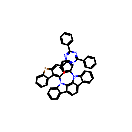 c1ccc(-c2nc(-c3ccccc3)nc(-c3cc(-n4c5ccccc5c5ccc6c7ccccc7n(-c7ccccc7)c6c54)c4c(c3)sc3ccccc34)n2)cc1